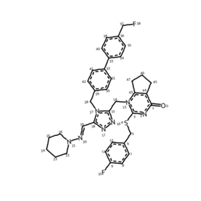 O=c1nc(SCc2ccc(F)cc2)n(Cc2nnc(/C=N/N3CCCCC3)n2Cc2ccc(-c3ccc(CF)cc3)cc2)c2c1CCC2